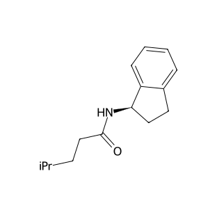 CC(C)CCC(=O)N[C@@H]1CCc2ccccc21